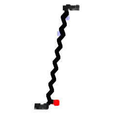 CCCCC/C=C/C/C=C/CCCCCCCCCCCC(=O)OC